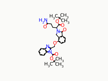 CC(C)(C)OC(=O)C(CCC(N)=O)N1Cc2c(OCc3nc4ccccc4n3C(=O)OC(C)(C)C)cccc2C1=O